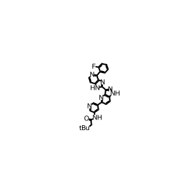 CC(C)(C)CC(=O)Nc1cncc(-c2ccc3[nH]nc(-c4nc5c(-c6ccccc6F)nccc5[nH]4)c3n2)c1